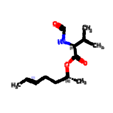 C/C=C/CC[C@@H](C)OC(=O)[C@@H](NC=O)C(C)C